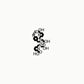 O=C(O)CN(Cc1cccc(C(=O)O)n1)C[C@H](Cc1ccc(N=C=S)cc1)N(CC(=O)O)Cc1cccc(C(=O)O)n1